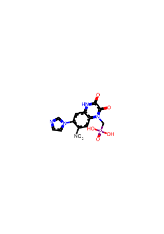 O=c1[nH]c2cc(-n3ccnc3)c([N+](=O)[O-])cc2n(CP(=O)(O)O)c1=O